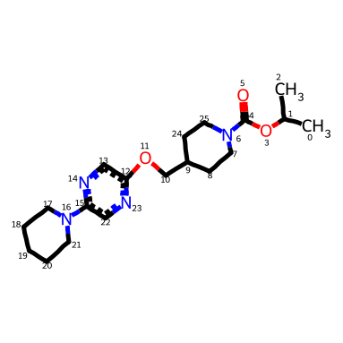 CC(C)OC(=O)N1CCC(COc2cnc(N3CCCCC3)cn2)CC1